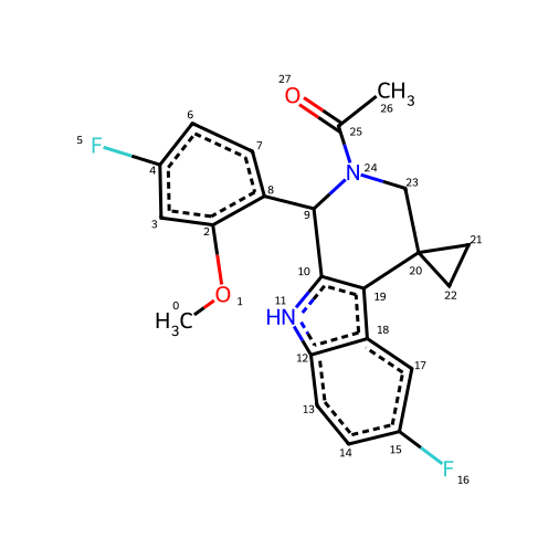 COc1cc(F)ccc1C1c2[nH]c3ccc(F)cc3c2C2(CC2)CN1C(C)=O